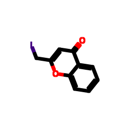 O=c1cc(CI)oc2ccccc12